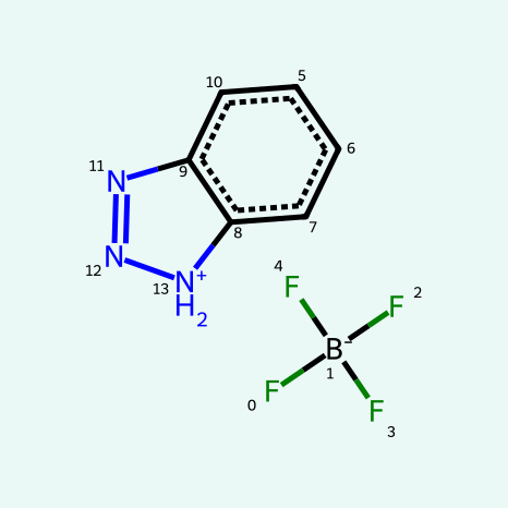 F[B-](F)(F)F.c1ccc2c(c1)N=N[NH2+]2